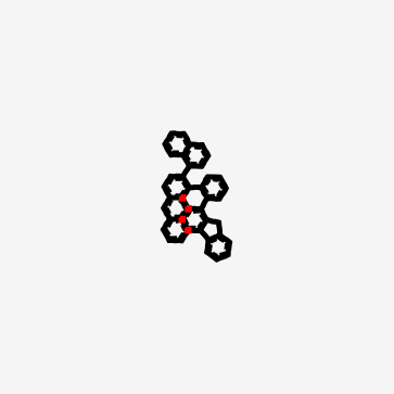 Cc1cc2c(c(-c3ccccc3-c3c(-c4cccc5ccccc45)ccc4cc5ccccc5cc34)c1C)Cc1ccccc1-2